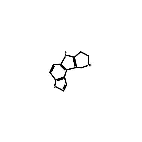 c1cc2c(ccc3[nH]c4c(c32)CNCC4)s1